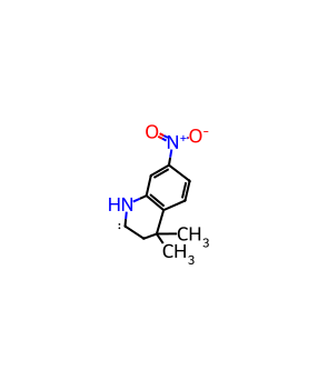 CC1(C)C[C]Nc2cc([N+](=O)[O-])ccc21